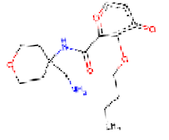 CCCCOc1c(C(=O)NC2(CN)CCOCC2)occc1=O